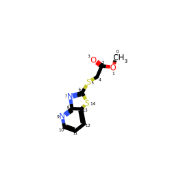 COC(=O)CSc1nc2ncccc2s1